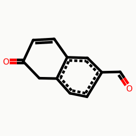 O=Cc1ccc2c(c1)C=CC(=O)C2